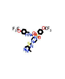 Cc1nncc2sc(N3CCN(S(=O)(=O)c4ccc(OC(F)(F)F)cc4)[C@@H](C(=O)NCc4ccc(OC(F)(F)F)cc4)C3)nc12